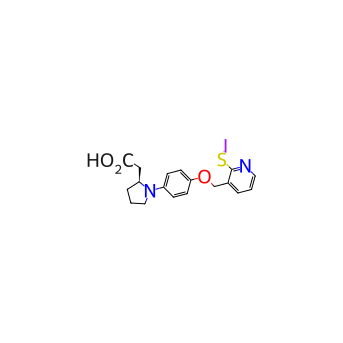 O=C(O)C[C@@H]1CCCN1c1ccc(OCc2cccnc2SI)cc1